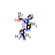 Cc1ccc(NC(=O)c2ccnc(C(C)(C)C#N)c2)cc1-c1cc(N2CCOCC2)nc(NCC(C)O)n1